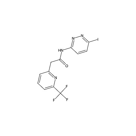 O=C(Cc1cccc(C(F)(F)F)n1)Nc1ccc(I)nn1